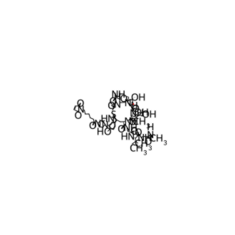 CC[C@H](C)[C@H](NC(=O)CNC(=O)[C@H]1Cc2c([nH]c3c(N4CCN(C(=O)CCCCCN5C(=O)C=CC5=O)CC4)c(O)ccc23)SCC(=O)N[C@@H](CC(N)=O)C(=O)N2C[C@H](O)C[C@H]2C(=O)N[C@@H]([C@@H](C)[C@@H](O)CO)C(=O)N1)C(=O)NCC(=O)NC